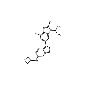 Cc1nc2c(F)cc(-c3ccn4nc(NC5COC5)ncc34)cc2n1C(C)C